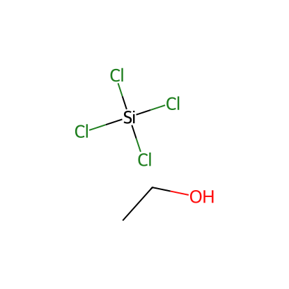 CCO.Cl[Si](Cl)(Cl)Cl